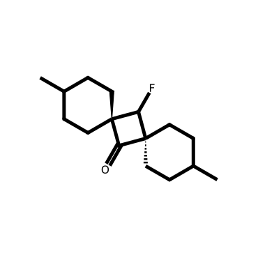 CC1CC[C@]2(CC1)C(=O)[C@@]1(CCC(C)CC1)C2F